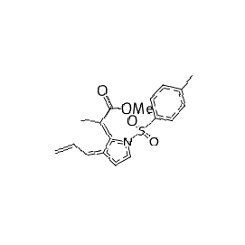 C=C/C=c1/ccn(S(=O)(=O)c2ccc(C)cc2)/c1=C(/C)C(=O)OC